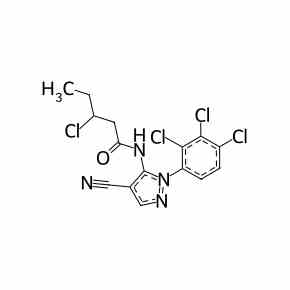 CCC(Cl)CC(=O)Nc1c(C#N)cnn1-c1ccc(Cl)c(Cl)c1Cl